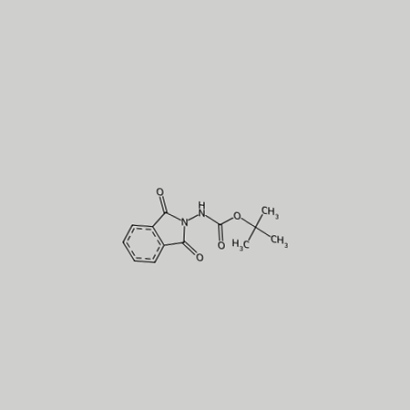 CC(C)(C)OC(=O)NN1C(=O)c2ccccc2C1=O